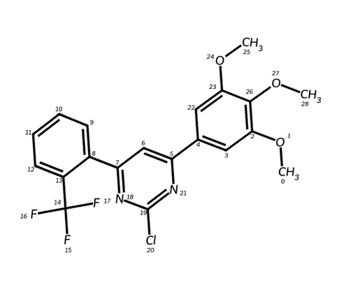 COc1cc(-c2cc(-c3ccccc3C(F)(F)F)nc(Cl)n2)cc(OC)c1OC